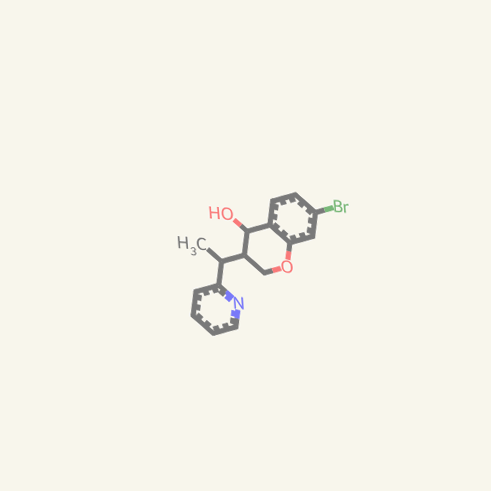 CC(c1ccccn1)C1COc2cc(Br)ccc2C1O